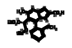 C=Cc1ccccc1-c1c([C@H](OC(C)(C)C)C(=O)OCC)c(C)nc2cc(C(=O)O)nn12